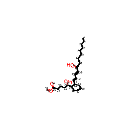 CCCCCCCCC(O)/C=C/C=C/C1CC=CCC1C(O)CCCC(=O)OC